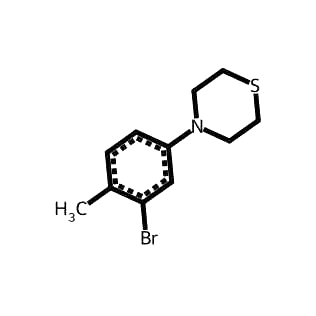 Cc1ccc(N2CCSCC2)cc1Br